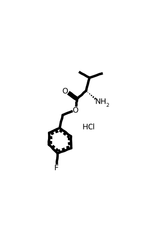 CC(C)[C@H](N)C(=O)OCc1ccc(F)cc1.Cl